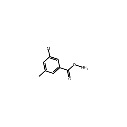 Cc1cc(Cl)cc(C(=O)ON)c1